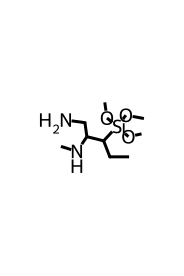 CCC(C(CN)NC)[Si](OC)(OC)OC